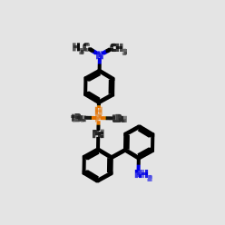 CN(C)c1ccc([PH]([Pd][c]2ccccc2-c2ccccc2N)(C(C)(C)C)C(C)(C)C)cc1